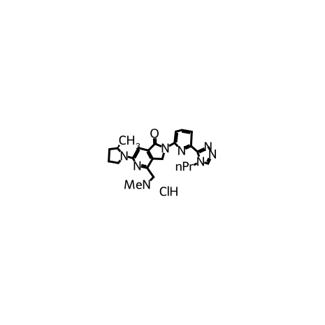 CCCn1cnnc1-c1cccc(N2Cc3c(cc(N4CCC[C@H]4C)nc3CNC)C2=O)n1.Cl